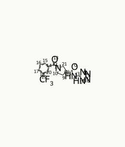 O=C(Nc1nnn[nH]1)[C@@H]1CCN(C(=O)c2cccc(C(F)(F)F)c2)C1